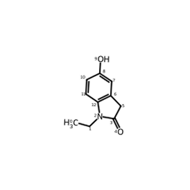 CCN1C(=O)Cc2cc(O)ccc21